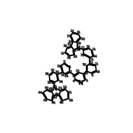 c1cc(-c2cncc(-c3cccc(-c4cccc(-n5c6ccccc6c6ccccc65)c4)c3)c2)cc(-c2cccc(-n3c4ccccc4c4ccccc43)c2)c1